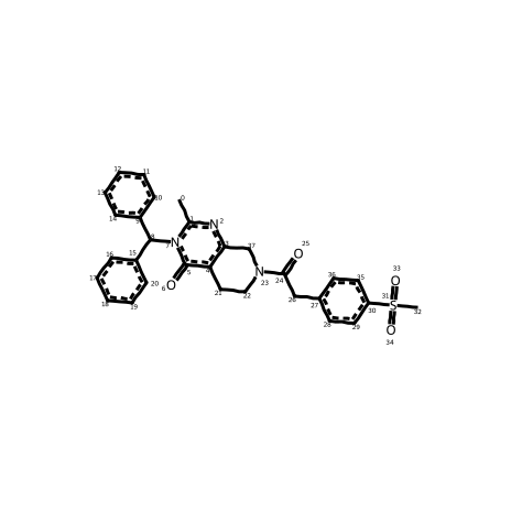 Cc1nc2c(c(=O)n1C(c1ccccc1)c1ccccc1)CCN(C(=O)Cc1ccc(S(C)(=O)=O)cc1)C2